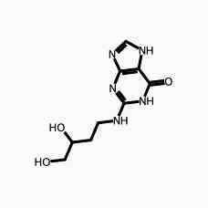 O=c1[nH]c(NCCC(O)CO)nc2nc[nH]c12